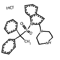 CC(c1ccccc1)(c1ccccc1)S(=O)(=O)n1c(N2CCNCC2)cc2ccccc21.Cl